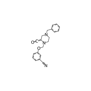 N#Cc1cccc(OCN2CCN(Cc3ccccc3)CC2=C=O)c1